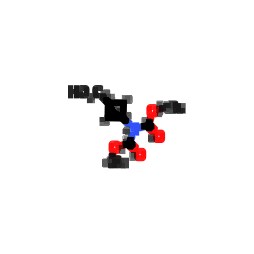 CC(C)(C)OC(=O)N(C(=O)OC(C)(C)C)C12CC(C(=O)O)(C1)C2